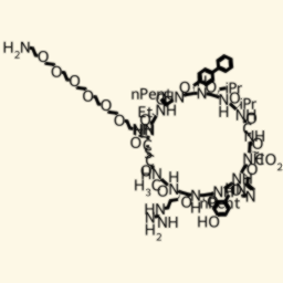 CCCCC[C@@H]1NC(=O)[C@H](CCCNC(=N)N)NC(=O)[C@H](C)NC(=O)CSC[C@@H](C(=O)NCCOCCOCCOCCOCCOCCOCCN)NC(=O)[C@H](CC)NC(=O)[C@H](CCCCC)NC(=O)[C@H](Cc2ccc(-c3ccccc3)cc2)NC(=O)[C@H](CC(C)C)NC(=O)[C@H](C(C)C)NC(=O)CNC(=O)[C@H](CC(=O)O)NC(=O)[C@H](Cc2cnc[nH]2)NC(=O)[C@H](Cc2ccc(O)cc2)NC1=O